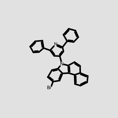 Brc1ccc2c(c1)c1c3ccccc3ccc1n2-c1cc(-c2ccccc2)nc(-c2ccccc2)c1